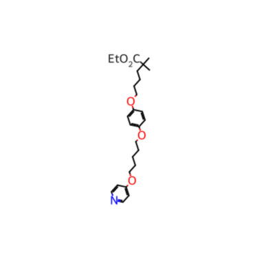 CCOC(=O)C(C)(C)CCCCOc1ccc(OCCCCCOc2ccncc2)cc1